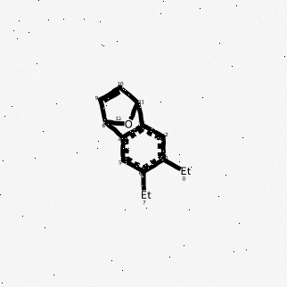 CCc1cc2c(cc1CC)C1C=CC2O1